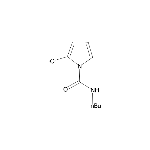 CCCCNC(=O)n1cccc1[O]